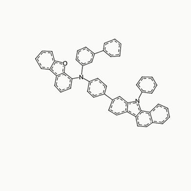 c1ccc(-c2cccc(N(c3ccc(-c4ccc5c6ccc7ccccc7c6n(-c6ccccc6)c5c4)cc3)c3cccc4c3oc3ccccc34)c2)cc1